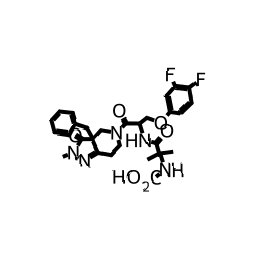 CN1N=C2CCN(C(=O)C(COc3ccc(F)c(F)c3)NC(=O)C(C)(C)NC(=O)O)CC2(Cc2ccccc2)C1=O